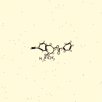 [C]#Cc1ccc2c(c1)S(C)(SC)CC(OC(=O)c1ccccc1)C2